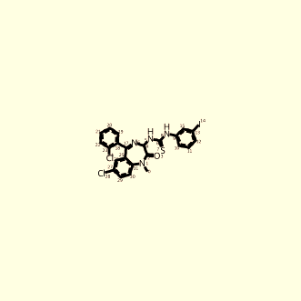 CN1C(=O)C(NC(=S)Nc2cccc(I)c2)N=C(c2ccccc2Cl)c2cc(Cl)ccc21